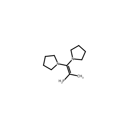 CC(P)=C(N1CCCC1)N1CCCC1